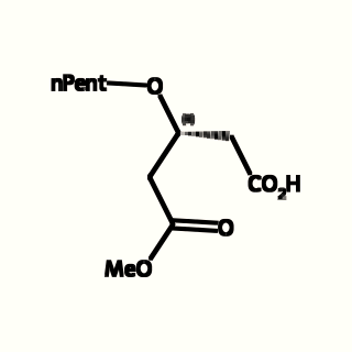 CCCCCO[C@H](CC(=O)O)CC(=O)OC